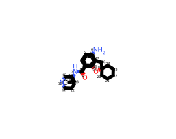 Nc1ccc(C(=O)NC2CN3CCC2CC3)c2c1CC1(CCCCC1)O2